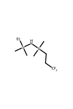 CC[Si](C)(C)N[Si](C)(C)CCC(F)(F)F